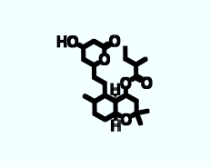 CCC(C)C(=O)OC1CC(C)(C)O[C@@H]2CCC(C)C(CCC3CC(O)CC(=O)O3)[C@@H]12